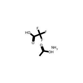 CC(=O)O.N.O=C(O)C(F)(F)F